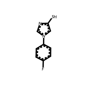 Fc1ccc(-n2cnc(S)c2)cc1